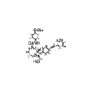 COc1ccc(NC(=O)N2CCCCN3[C@H](CO)C(c4ccc(C#Cc5cccnc5)cc4)[C@@H]3C2)cc1